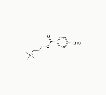 C[N+](C)(C)CCCOC(=O)c1ccc(C=O)cc1